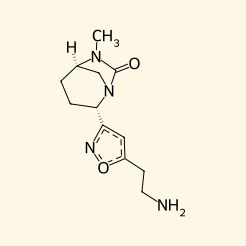 CN1C(=O)N2C[C@H]1CC[C@H]2c1cc(CCN)on1